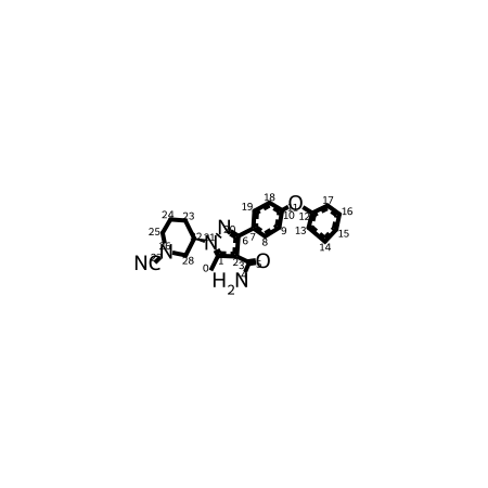 Cc1c(C(N)=O)c(-c2ccc(Oc3ccccc3)cc2)nn1[C@@H]1CCCN(C#N)C1